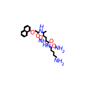 CC(NC(=O)COc1cccc2ccccc12)C(CCC(=O)NC(CCCCN)ON)ON